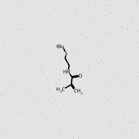 C=C(C)C(=O)NCCSC(C)(C)C